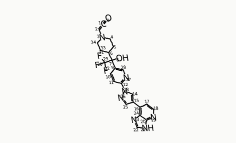 O=C=CN1CCC(C(O)(c2ccc(-n3cc(-c4ccnc5[nH]cnc45)cn3)nc2)C(F)(F)F)CC1